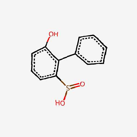 O=S(O)c1cccc(O)c1-c1ccccc1